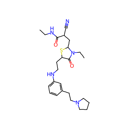 CCNC(=O)C(C#N)CC1SC(CCNc2cccc(CCN3CCCC3)c2)C(=O)N1CC